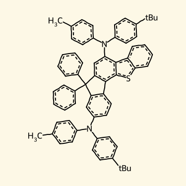 Cc1ccc(N(c2ccc(C(C)(C)C)cc2)c2ccc3c(c2)C(c2ccccc2)(c2ccccc2)c2cc(N(c4ccc(C)cc4)c4ccc(C(C)(C)C)cc4)c4c(sc5ccccc54)c2-3)cc1